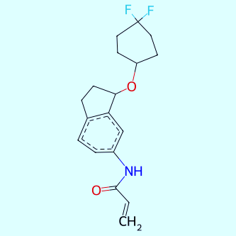 C=CC(=O)Nc1ccc2c(c1)C(OC1CCC(F)(F)CC1)CC2